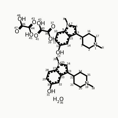 CN1CCC(c2cn(C)c3ccc(O)cc23)CC1.CN1CCC(c2cn(C)c3ccc(O)cc23)CC1.O.O=C(O)C(=O)O.O=C(O)C(=O)O